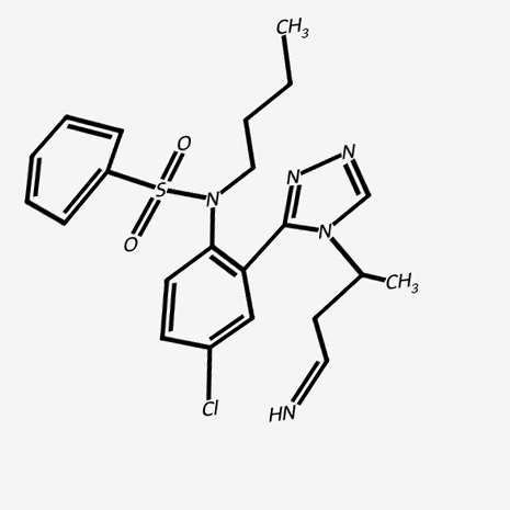 CCCCN(c1ccc(Cl)cc1-c1nncn1C(C)CC=N)S(=O)(=O)c1ccccc1